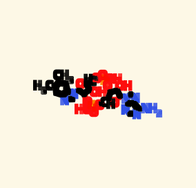 Cc1cc2ncn([C@@H]3O[C@@H]4COP(=O)(O)OC5C(O)[C@H](n6cnc7c(N)ncnc76)O[C@@H]5COP(=O)(O)OC3C4O)c2cc1C